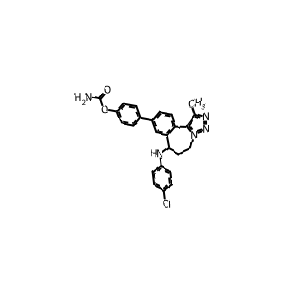 Cc1nnn2c1-c1ccc(-c3ccc(OC(N)=O)cc3)cc1C(Nc1ccc(Cl)cc1)CC2